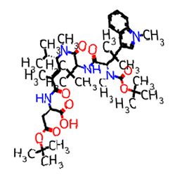 C/C(=C\[C@H](C(C)C)N(C)C(=O)C(NC(=O)[C@@H](N(C)C(=O)OC(C)(C)C)C(C)(C)c1cn(C)c2ccccc12)C(C)(C)C)C(=O)N[C@H](CC(=O)OC(C)(C)C)C(=O)O